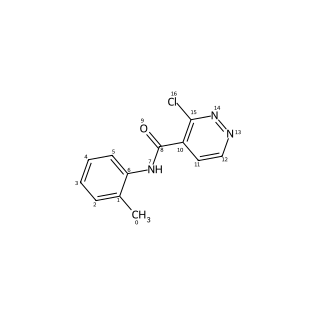 Cc1ccccc1NC(=O)c1ccnnc1Cl